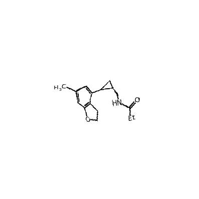 CCC(=O)NC[C@@H]1CC1c1cc(C)cc2c1CCO2